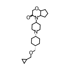 O=C1COC2CCCC2N1C1CCN([C@H]2CC[C@@H](COCC3CC3)CC2)CC1